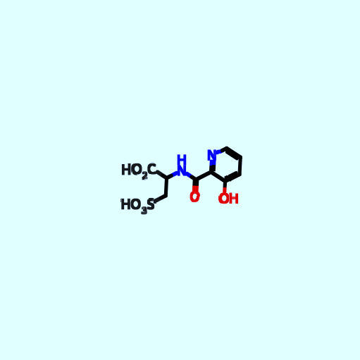 O=C(NC(CS(=O)(=O)O)C(=O)O)c1ncccc1O